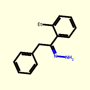 CCc1ccccc1/C(Cc1ccccc1)=N\N